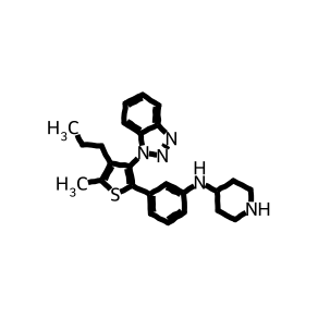 CCCc1c(C)sc(-c2cccc(NC3CCNCC3)c2)c1-n1nnc2ccccc21